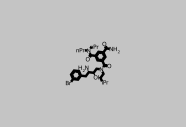 CCCN(CCC)C(=O)c1cc(C(N)=O)cc(C(=O)N(CCC(C)C)C[C@@H](O)[C@@H](N)Cc2cccc(Br)c2)c1